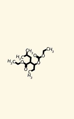 CCOC(=O)OC(CC)C(CC(C)C)C(=O)OCC